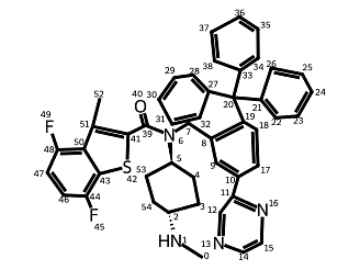 CN[C@H]1CC[C@H](N(Cc2cc(-c3cnccn3)ccc2C(c2ccccc2)(c2ccccc2)c2ccccc2)C(=O)c2sc3c(F)ccc(F)c3c2C)CC1